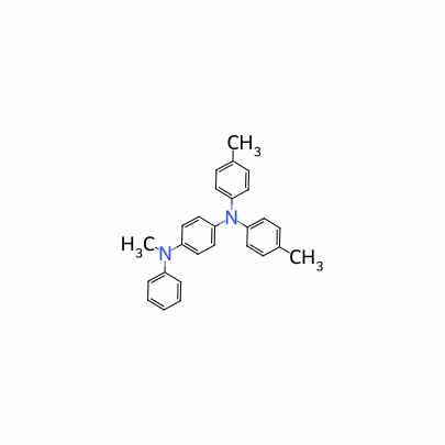 Cc1ccc(N(c2ccc(C)cc2)c2ccc(N(C)c3ccccc3)cc2)cc1